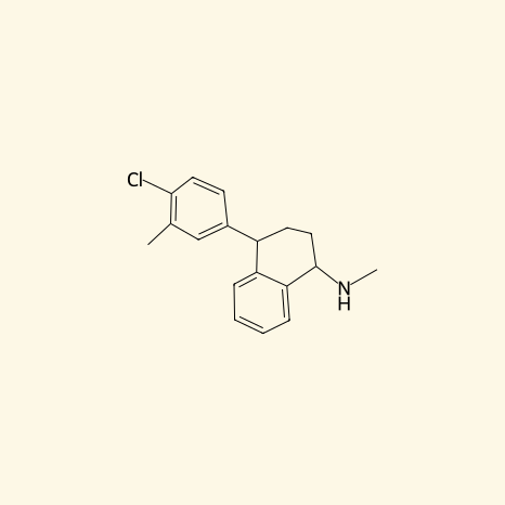 CNC1CCC(c2ccc(Cl)c(C)c2)c2ccccc21